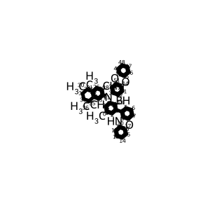 Cc1cc(-c2cccc3c2Nc2ccccc2O3)c2c(c1)N(c1cc3c(cc1C)C(C)(C)CCC3(C)C)c1cc3c(cc1B2)Oc1ccccc1O3